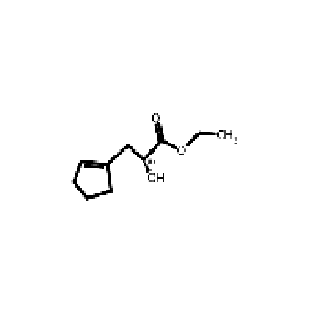 CCOC(=O)[C@@H](O)CC1=CCCC1